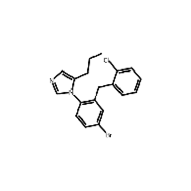 CCCc1cncn1-c1ccc(Br)cc1Cc1ccccc1Cl